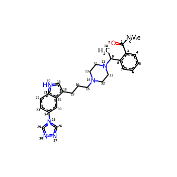 CNC(=O)c1ccccc1C(C)N1CCN(CCCc2c[nH]c3ccc(-n4cnnc4)cc23)CC1